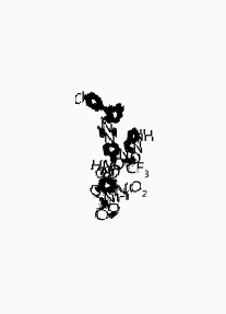 CC1(C)CCC(CN2CCN(c3ccc(C(=O)NS(=O)(=O)c4cc5c(c([N+](=O)[O-])c4)N[C@@H]([C@@H]4COCCO4)CO5)c(N4C[C@@H](C(F)(F)F)Oc5nc6[nH]ccc6cc54)c3)CC2)=C(c2ccc(Cl)cc2)C1